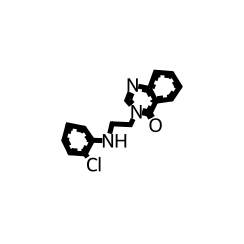 O=c1c2ccccc2ncn1CCNc1ccccc1Cl